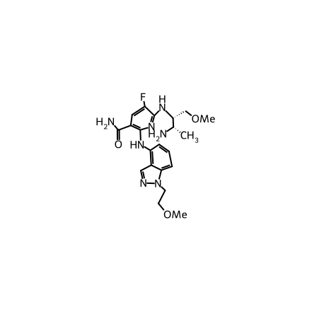 COCCn1ncc2c(Nc3nc(N[C@H](COC)[C@H](C)N)c(F)cc3C(N)=O)cccc21